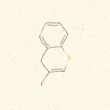 IC1=CSc2ccccc2C1